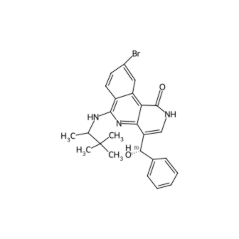 CC(Nc1nc2c([C@@H](O)c3ccccc3)c[nH]c(=O)c2c2cc(Br)ccc12)C(C)(C)C